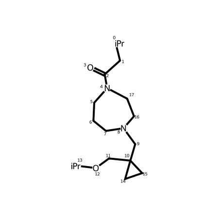 CC(C)CC(=O)N1CCCN(CC2(COC(C)C)CC2)CC1